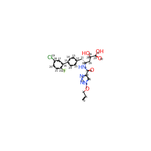 C=CCOn1cc(C(=O)N[C@H](Cc2ccc(-c3cc(Cl)ccc3F)cc2)C[C@@H](O)C(=O)O)nn1